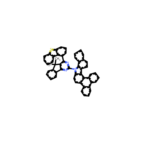 CC1(C)c2ccccc2-c2nc(-n3c4ccc5c6ccccc6c6ccccc6c5c4c4ccc5ccccc5c43)nc(-c3cccc4sc5ccccc5c34)c21